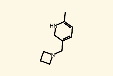 CC1=CC=C(CN2CCC2)CN1